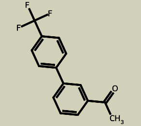 CC(=O)c1cccc(-c2ccc(C(F)(F)F)cc2)c1